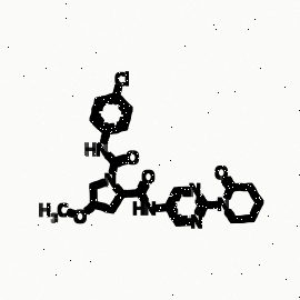 COC1CC(C(=O)Nc2cnc(N3CCCCC3=O)nc2)N(C(=O)Nc2ccc(Cl)cc2)C1